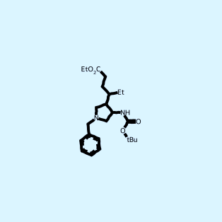 CCOC(=O)CCC(CC)C1CN(Cc2ccccc2)CC1NC(=O)OC(C)(C)C